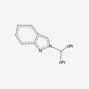 CCCC(CCC)n1cc2ccccc2n1